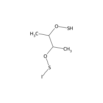 CC(OS)C(C)OSI